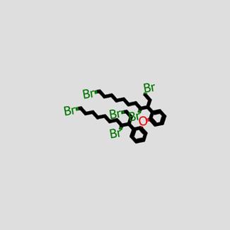 BrCCCCCCCC(Br)C(CCBr)c1ccccc1Oc1ccccc1C(CCBr)C(Br)CCCCCCCBr